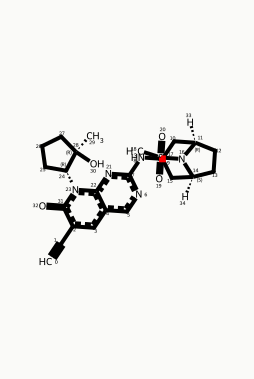 C#Cc1cc2cnc(NC3C[C@H]4CC[C@@H](C3)N4S(C)(=O)=O)nc2n([C@@H]2CCC[C@@]2(C)O)c1=O